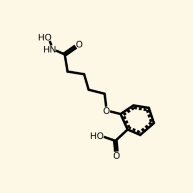 O=C(CCCCOc1ccccc1C(=O)O)NO